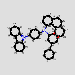 c1ccc(-c2cccc(N(c3ccc(-n4c5ccccc5c5ccccc54)cc3)c3cccc4ccc5ccccc5c34)c2)cc1